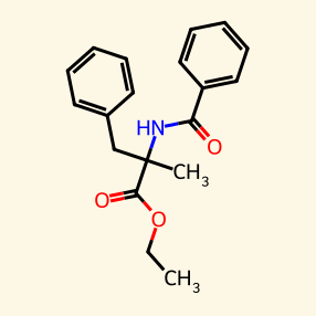 CCOC(=O)C(C)(Cc1ccccc1)NC(=O)c1ccccc1